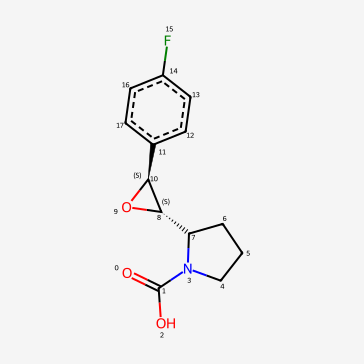 O=C(O)N1CCCC1[C@@H]1O[C@H]1c1ccc(F)cc1